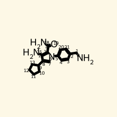 NCc1ccc(-n2cc(C3CCCC3)c(N)c2C(N)=O)cc1